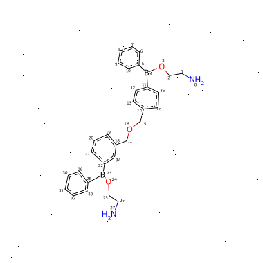 NCCOB(c1ccccc1)c1ccc(COCc2cccc(B(OCCN)c3ccccc3)c2)cc1